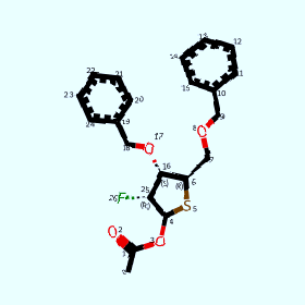 CC(=O)OC1S[C@H](COCc2ccccc2)[C@@H](OCc2ccccc2)[C@H]1F